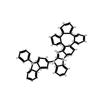 c1ccc(-n2c3ccccc3c3cc(-n4c5ccccc5n5c6ccc7c(c6nc45)-c4ccccc4-c4ccccc4-c4ccccc4-7)ccc32)cc1